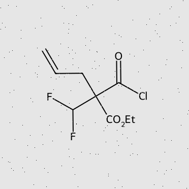 C=CCC(C(=O)Cl)(C(=O)OCC)C(F)F